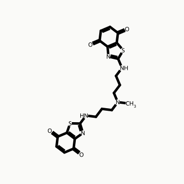 CN(CCCNc1nc2c(s1)C(=O)C=CC2=O)CCCNc1nc2c(s1)C(=O)C=CC2=O